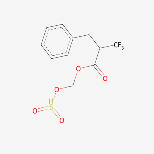 O=C(OCO[SH](=O)=O)C(Cc1ccccc1)C(F)(F)F